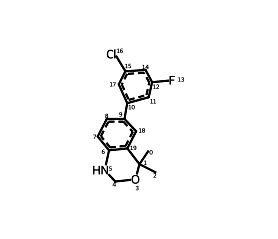 CC1(C)OCNc2ccc(-c3cc(F)cc(Cl)c3)cc21